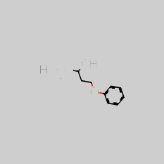 CC(CCOc1ccccc1)C(=O)O